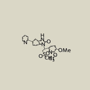 CCOc1nc(C(CS(C)(=O)=O)n2c(=O)[nH]c3cc(-c4ccccn4)ccc32)ccc1OC